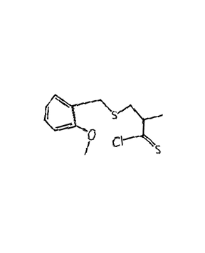 COc1ccccc1CSCC(C)C(=S)Cl